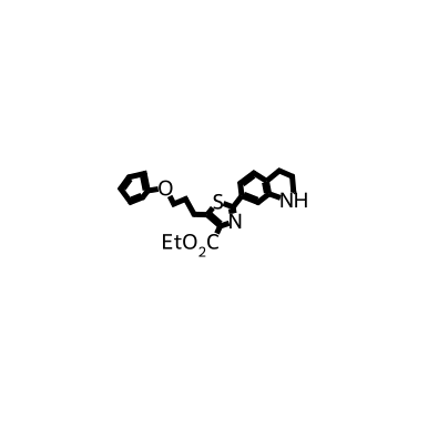 CCOC(=O)c1nc(-c2ccc3c(c2)NCCC3)sc1CCCOc1ccccc1